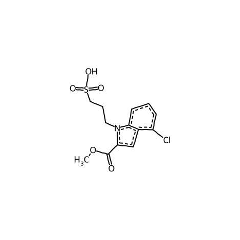 COC(=O)c1cc2c(Cl)cccc2n1CCCS(=O)(=O)O